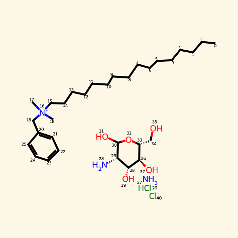 CCCCCCCCCCCCCCCC[N+](C)(C)Cc1ccccc1.Cl.N.N[C@@H]1C(O)O[C@H](CO)[C@@H](O)[C@@H]1O.[Cl-]